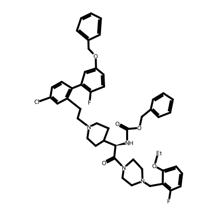 CCOc1cccc(F)c1CN1CCN(C(=O)[C@H](NC(=O)OCc2ccccc2)C2CCN(CCc3cc(Cl)ccc3-c3cc(OCc4ccccc4)ccc3F)CC2)CC1